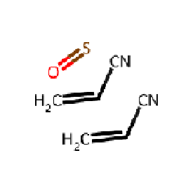 C=CC#N.C=CC#N.O=S